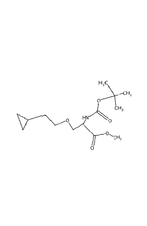 COC(=O)C(COCCC1CC1)NC(=O)OC(C)(C)C